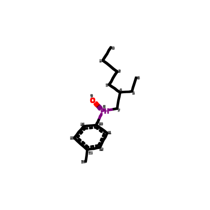 CCCCC(CC)C[PH](=O)c1ccc(C)cc1